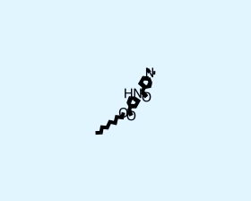 CCCCCCCCOC(=O)c1ccc(NC(=O)c2ccc(N(C)C)cc2)cc1